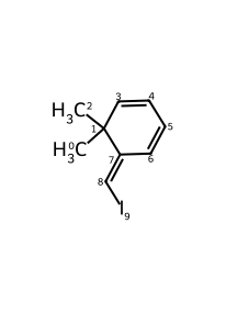 CC1(C)C=CC=C/C1=C\I